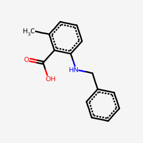 Cc1cccc(NCc2ccccc2)c1C(=O)O